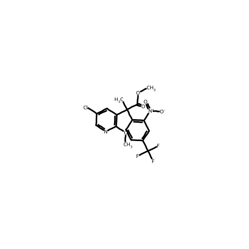 COC(=O)C(C)(c1ccc(C(F)(F)F)cc1[N+](=O)[O-])c1cc(Cl)cnc1OC